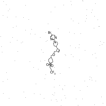 O=S(=O)(CCC(F)(F)F)N1CCC(COC[C@@H]2C=C[C@@H]2C2CCN(c3ncc(Br)cn3)CC2)CC1